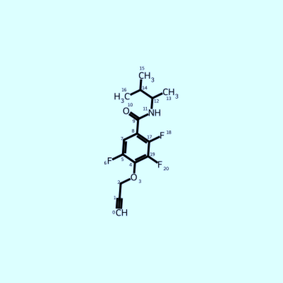 C#CCOc1c(F)cc(C(=O)NC(C)C(C)C)c(F)c1F